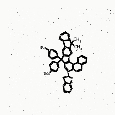 CC(C)(C)c1ccc(C2(c3ccc(C(C)(C)C)cc3)c3cc4c(cc3-c3c2cc(C2Cc5ccccc5S2)c2ccc5ccccc5c32)C(C)(C)c2ccccc2-4)cc1